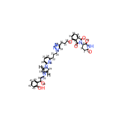 O=C1CCC(N2C(=O)c3cccc(OCCCc4cn(CCCc5cccc(N6C[C@H]7C[C@@H]6CN7/C=C/C(=O)c6ccccc6O)n5)nn4)c3C2=O)C(=O)N1